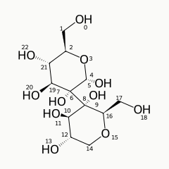 OC[C@H]1O[C@H](O)[C@@](O)([C@]2(O)[C@H](O)[C@@H](O)CO[C@@H]2CO)[C@@H](O)[C@@H]1O